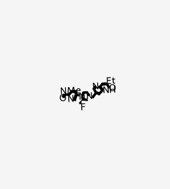 CCc1cc2ncc(CN3CCN(c4ccc(C(=O)NC)nc4)[C@H](CF)C3)cc2[nH]c1=O